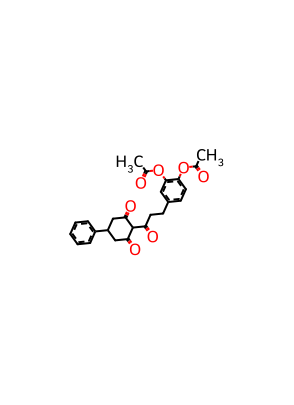 CC(=O)Oc1ccc(CCC(=O)C2C(=O)CC(c3ccccc3)CC2=O)cc1OC(C)=O